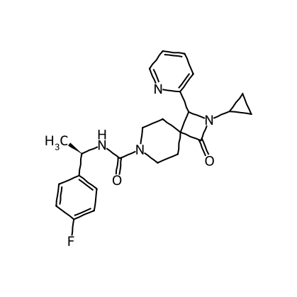 C[C@@H](NC(=O)N1CCC2(CC1)C(=O)N(C1CC1)C2c1ccccn1)c1ccc(F)cc1